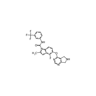 Cc1cc2c(F)c(Oc3ncnc4c3CNC4)ccc2n1C(=O)Nc1cccc(C(F)(F)F)c1